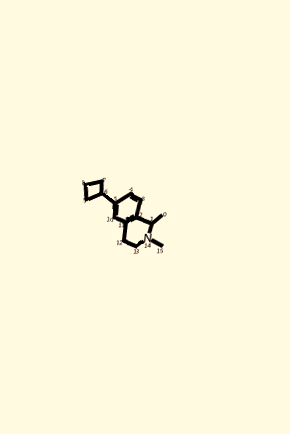 CC1c2ccc(C3CCC3)cc2CCN1C